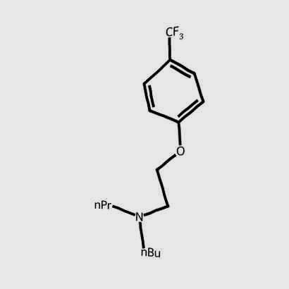 CCCCN(CCC)CCOc1ccc(C(F)(F)F)cc1